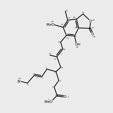 COC(=O)CCC(C/C=C/CBr)C/C(C)=C/Cc1c(O)c2c(c(C)c1OC)COC2=O